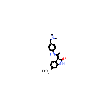 CCOC(=O)c1ccc2c(c1)NC(=O)C2=C(C)Nc1ccc(CN(C)C)cc1